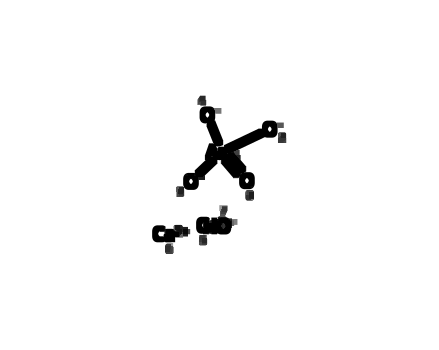 O=[As]([O-])([O-])[O-].[Ca+2].[Ca+2].[OH-]